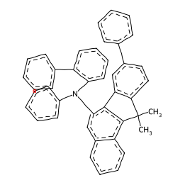 CC1(C)c2ccc(-c3ccccc3)cc2-c2c(N(c3ccccc3)c3ccccc3-c3ccccc3)cc3ccccc3c21